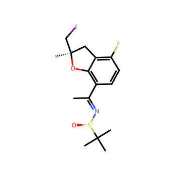 C/C(=N\[S@+]([O-])C(C)(C)C)c1ccc(F)c2c1O[C@@](C)(CI)C2